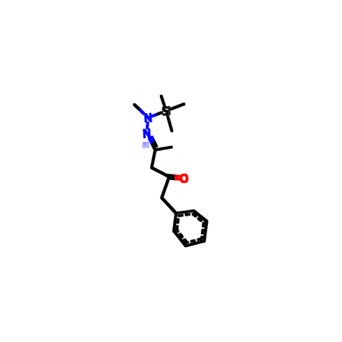 C/C(CC(=O)Cc1ccccc1)=N\N(C)[Si](C)(C)C